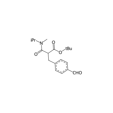 CC(C)N(C)C(=O)C(Cc1ccc(C=O)cc1)C(=O)OC(C)(C)C